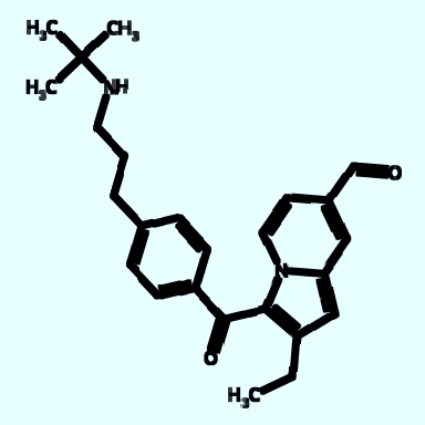 CCc1cc2cc(C=O)ccn2c1C(=O)c1ccc(CCCNC(C)(C)C)cc1